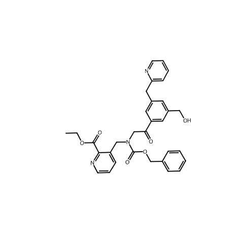 CCOC(=O)c1ncccc1CN(CC(=O)c1cc(CO)cc(Cc2ccccn2)c1)C(=O)OCc1ccccc1